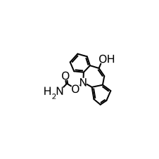 NC(=O)ON1c2ccccc2C=C(O)c2ccccc21